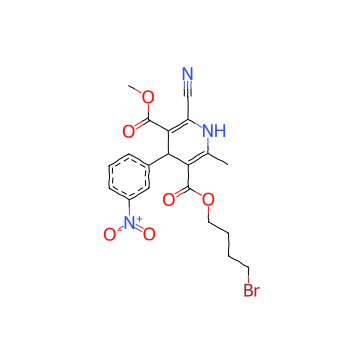 COC(=O)C1=C(C#N)NC(C)=C(C(=O)OCCCCBr)C1c1cccc([N+](=O)[O-])c1